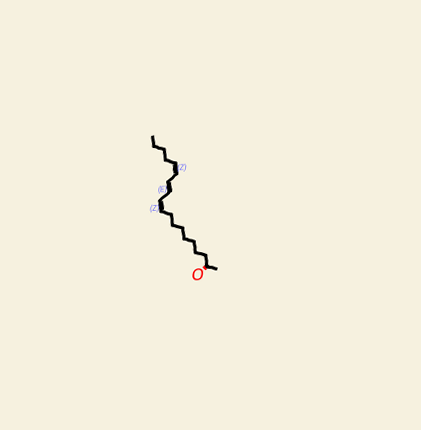 CCCC\C=C/C=C/C=C\CCCCCCCC(C)=O